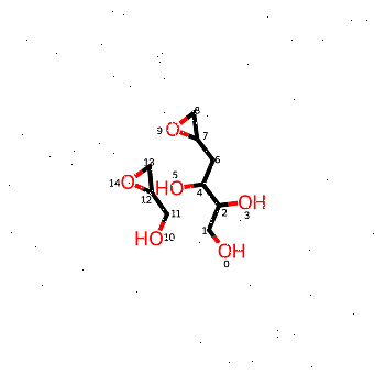 OCC(O)C(O)CC1CO1.OCC1CO1